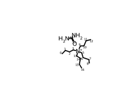 CCCC[N+](CCCC)(CCCC)CCCC.NC(N)=O